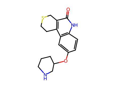 O=c1[nH]c2ccc(OC3CCCNC3)cc2c2c1CSCC2